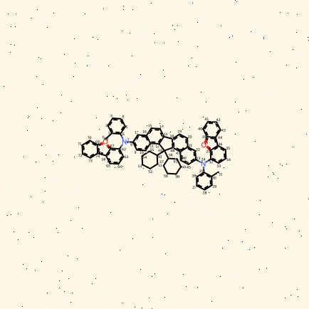 Cc1ccccc1N(c1ccc2c3c(ccc2c1)-c1ccc2cc(N(c4ccccc4C)c4cccc5c4oc4ccccc45)ccc2c1C3(C1CCCCC1)C1CCCCC1)c1cccc2c1oc1ccccc12